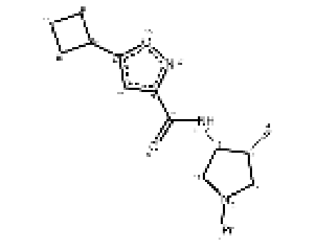 CC(C)N1C[C@@H](C)[C@@H](NC(=O)c2cc(C3CCC3)on2)C1